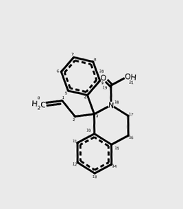 C=CCC1(c2ccccc2)c2ccccc2CCN1C(=O)O